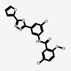 CCOc1ccc(Cl)cc1C(=O)Nc1cc(Cl)cc(-c2nnc(-c3ccco3)o2)c1